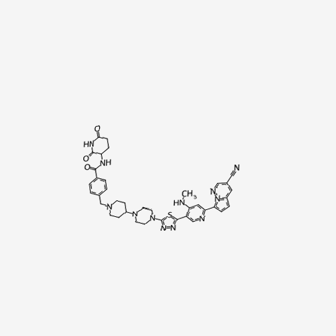 CNc1cc(-c2ccc3cc(C#N)cnn23)ncc1-c1nnc(N2CCN(C3CCN(Cc4ccc(C(=O)NC5CCC(=O)NC5=O)cc4)CC3)CC2)s1